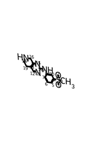 CS(=O)(=O)c1cccc(Nc2ncc3c(n2)CNCC3)c1